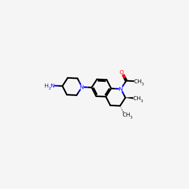 CC(=O)N1c2ccc(N3CCC(N)CC3)cc2C[C@@H](C)[C@@H]1C